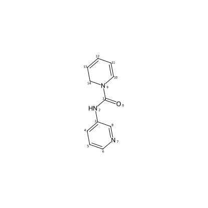 O=C(Nc1cccnc1)N1C=CC=CC1